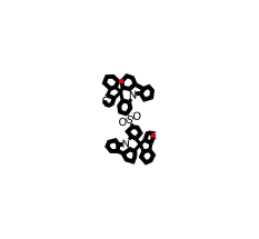 O=S(=O)(c1ccc2c(c1)-n1c3ccccc3c3cccc(c31)C21c2ccccc2-c2ccccc21)c1ccc2c(c1)-n1c3ccccc3c3cccc(c31)C21c2ccccc2-c2ccccc21